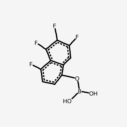 OB(O)Oc1ccc(F)c2c(F)c(F)c(F)cc12